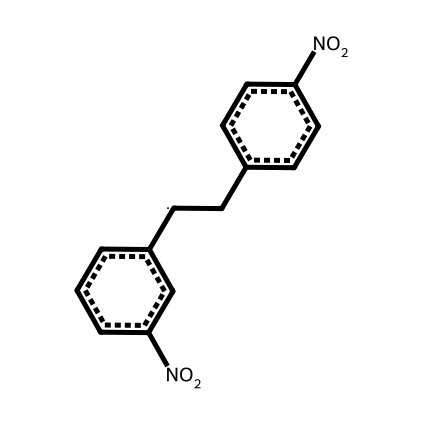 O=[N+]([O-])c1ccc(C[CH]c2cccc([N+](=O)[O-])c2)cc1